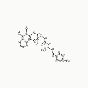 O=C1C(=O)c2ccccc2C2=C1SCC1(CCN(C[C@@H](O)COc3ccc(F)cc3)CC1)O2